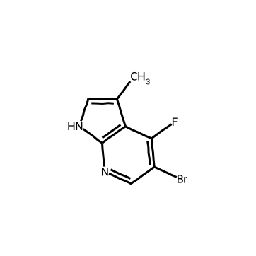 Cc1c[nH]c2ncc(Br)c(F)c12